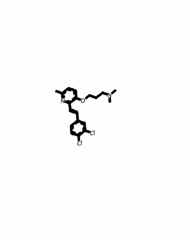 Cc1ccc(OCCCN(C)C)c(/C=C/c2ccc(Cl)c(Cl)c2)n1